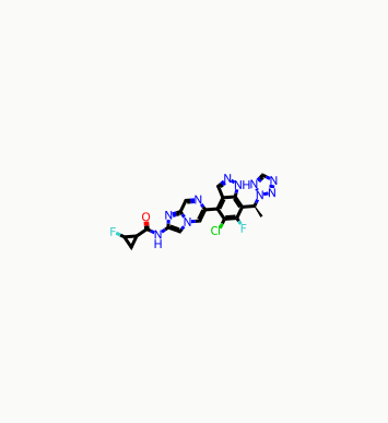 C[C@@H](c1c(F)c(Cl)c(-c2cn3cc(NC(=O)C4CC4F)nc3cn2)c2cn[nH]c12)n1ncnn1